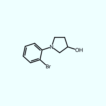 OC1CCN(c2ccccc2Br)C1